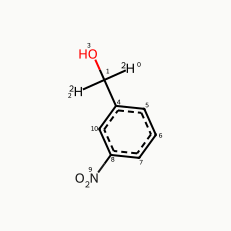 [2H]C([2H])(O)c1cccc([N+](=O)[O-])c1